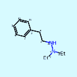 CCN(CC)NCCc1ccccc1